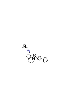 CN(C)C/C=C/c1ccc2c(c1)N(C(=O)c1ccc(-c3ccccc3)cc1)CCCC2